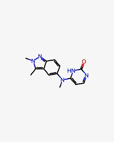 Cc1c2cc(N(C)c3ccnc(=O)[nH]3)ccc2nn1C